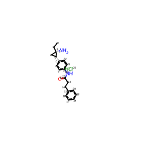 CC[C@]1(N)C[C@H]1c1ccc(NC(=O)CCc2ccccc2)cc1.Cl